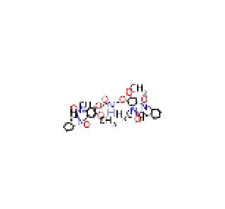 COc1cc2c(cc1OCCNC(=O)COc1cc3c(cc1OC)C(=O)N1Cc4ccccc4C[C@H]1C(=O)N3C)N(C)C(=O)[C@@H]1Cc3ccccc3CN1C2=O